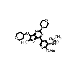 COc1ncc(-c2nc(N3CCOCC3)nc3c(OC4CCOCC4)c(C)sc23)cc1NS(C)(=O)=O